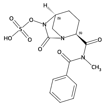 CN(C(=O)c1ccccc1)C(=O)[C@@H]1CC[C@H]2CN1C(=O)N2OS(=O)(=O)O